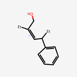 CC/C(=C/C(CC)c1ccccc1)CO